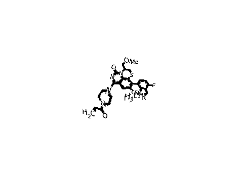 C=CC(=O)N1CCN(c2nc(=O)n3c4c(c(-c5ccc(F)c6cnn(C)c56)c(C(F)(F)F)cc24)SCC3COC)CC1